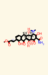 COC(=O)/C=C/c1ccc2c(c1O)C(=O)C1=C(O)[C@]3(O)C(=O)C(C(N)=O)=C(O)[C@@H](N(C)C)[C@@H]3[C@@H](O)[C@@H]1[C@@H]2C